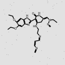 C=N/C=C\C=N/CCNC1=C(c2nc3cc(OCC)c(OCC)cc3[nH]2)C(=O)N/C(=C/N(CC)N=C)C1